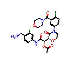 CC(=O)O[C@@H](C(=O)Nc1ccc(CN)c(F)c1)[C@H]1OCCN(c2ccc(F)c(C(=O)N3CCOCC3)c2)C1=O